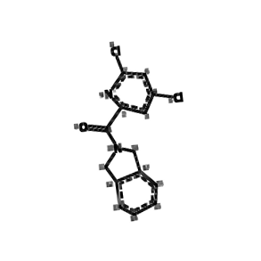 O=C(c1cc(Cl)cc(Cl)n1)N1Cc2ccccc2C1